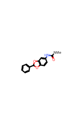 CNC(=O)Nc1ccc2c(c1)OC(c1ccccc1)O2